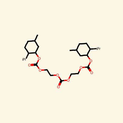 CC1CCC(C(C)C)C(OC(=O)OCCOC(=O)OCCOC(=O)OC2CC(C)CCC2C(C)C)C1